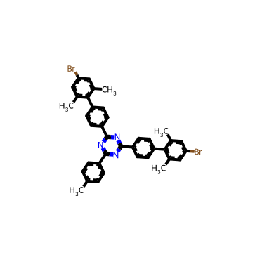 Cc1ccc(-c2nc(-c3ccc(-c4c(C)cc(Br)cc4C)cc3)nc(-c3ccc(-c4c(C)cc(Br)cc4C)cc3)n2)cc1